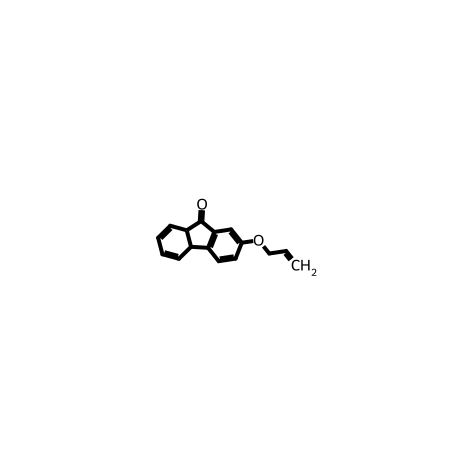 C=CCOc1ccc2c(c1)C(=O)C1C=CC=CC21